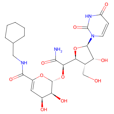 NC(=O)[C@H](O[C@H]1OC(C(=O)NCC2CCCCC2)=C[C@H](O)[C@@H]1O)[C@H]1O[C@@H](n2ccc(=O)[nH]c2=O)[C@H](O)[C@@H]1CO